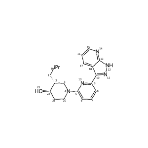 CC(C)C[C@@H]1CN(c2cccc(-c3n[nH]c4ncccc34)n2)CC[C@H]1O